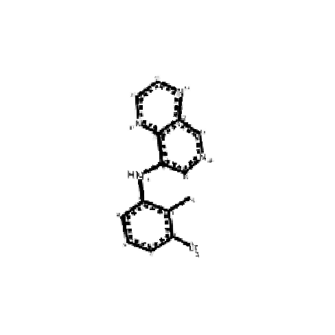 Cc1c(Br)cccc1Nc1cncc2nccnc12